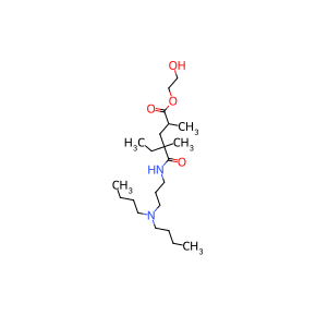 CCCCN(CCCC)CCCNC(=O)C(C)(CC)CC(C)C(=O)OCCO